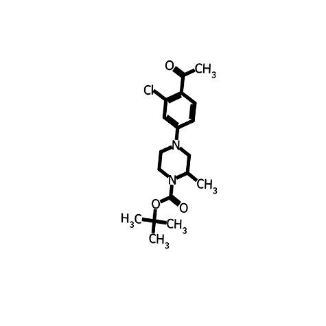 CC(=O)c1ccc(N2CCN(C(=O)OC(C)(C)C)C(C)C2)cc1Cl